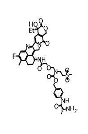 CC[C@@]1(O)C(=O)OCc2c1cc1n(c2=O)Cc2c-1nc1cc(F)c(C)c3c1c2[C@@H](NC(=O)COCN(CCS(C)(=O)=O)C(=O)OCc1ccc(NC(=O)[C@H](C)N)cc1)CC3